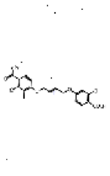 CCCC(=O)c1ccc(OC/C=C/COc2ccc(C(=O)O)c(Cl)c2)c(C)c1O